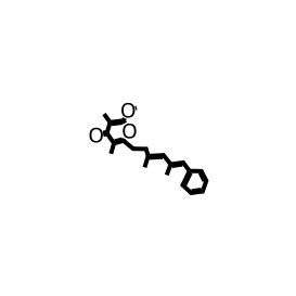 COc1oc(CC/C(C)=C/C(C)=C/c2ccccc2)c(C)c(=O)c1C